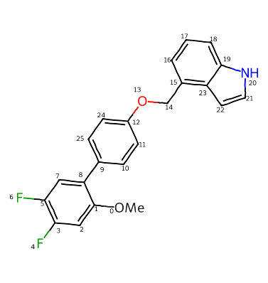 COc1cc(F)c(F)cc1-c1ccc(OCc2cccc3[nH]ccc23)cc1